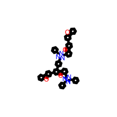 c1ccc(-c2nc(-c3ccc(-c4cc(-c5ccc6c(c5)oc5ccccc56)cc5oc6c(-c7nc(-c8ccccc8)nc(-c8ccccc8)n7)cccc6c45)cc3)nc(-c3cccc4c3oc3cc(-c5ccc6oc7ccccc7c6c5)ccc34)n2)cc1